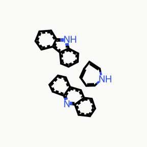 C1=CC=CNC=C1.c1ccc2c(c1)[nH]c1ccccc12.c1ccc2nc3ccccc3cc2c1